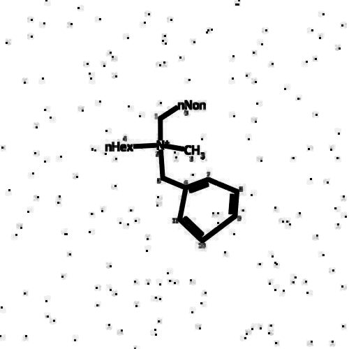 CCCCCCCCCC[N+](C)(CCCCCC)Cc1ccccc1